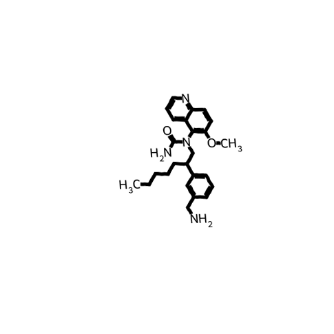 CCCCCC(CN(C(N)=O)c1c(OC)ccc2ncccc12)c1cccc(CN)c1